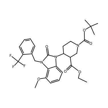 CCOC(=O)C1CN(C(=O)OC(C)(C)C)CCC1n1c(=O)n(Cc2ccccc2C(F)(F)F)c2c(OC)cccc21